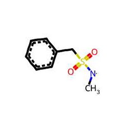 C[N]S(=O)(=O)Cc1ccccc1